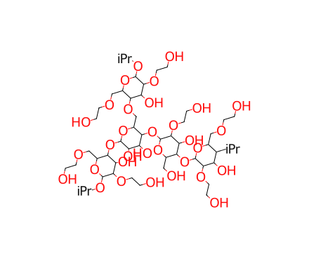 CC(C)OC1OC(COCCO)C(OCC2OC(OC3C(COCCO)OC(OC(C)C)C(OCCO)C3O)C(O)C(O)C2OC2OC(CO)C(OC3OC(COCCO)C(C(C)C)C(O)C3OCCO)C(O)C2OCCO)C(O)C1OCCO